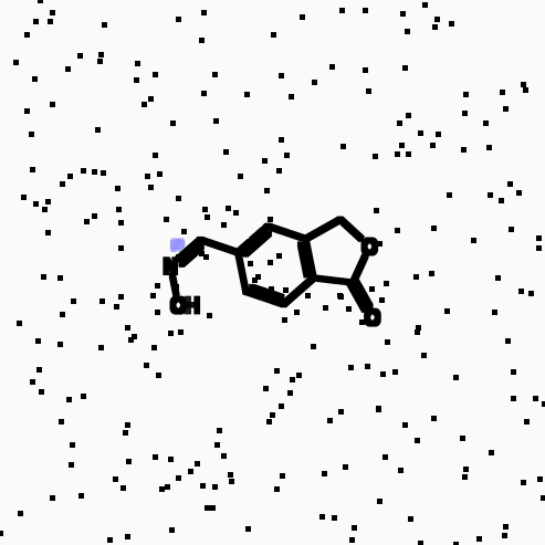 O=C1OCc2cc(/C=N\O)ccc21